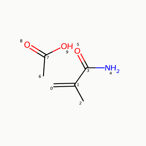 C=C(C)C(N)=O.CC(=O)O